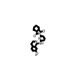 COc1ccc2ccnc(Nc3cccc(N4C(=O)c5ccccc5C4=O)n3)c2c1